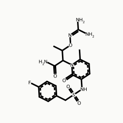 Cc1ccc(NS(=O)(=O)Cc2ccc(F)cc2)c(=O)n1C(C(N)=O)C(C)ON=C(N)N